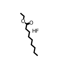 CCCCCCCCC(=O)OCC.F